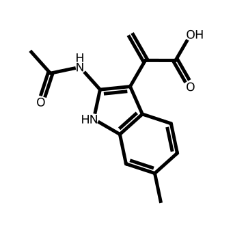 C=C(C(=O)O)c1c(NC(C)=O)[nH]c2cc(C)ccc12